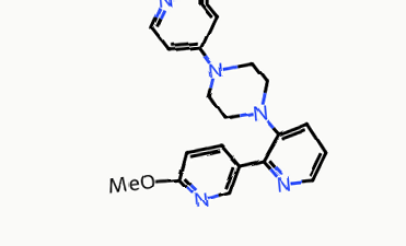 COc1ccc(-c2ncccc2N2CCN(c3ccncc3)CC2)cn1